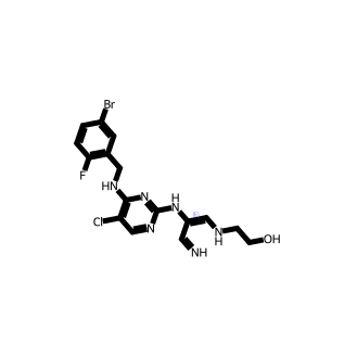 N=C/C(=C\NCCO)Nc1ncc(Cl)c(NCc2cc(Br)ccc2F)n1